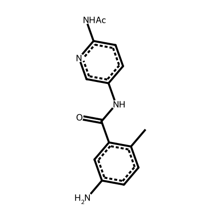 CC(=O)Nc1ccc(NC(=O)c2cc(N)ccc2C)cn1